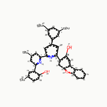 CC(C)(C)c1cc(-c2cc(-c3cc(C(C)(C)C)cc(-c4cc(C(C)(C)C)ccc4O)n3)nc(-c3cc4oc5ccccc5c4cc3O)c2)cc(C(C)(C)C)c1